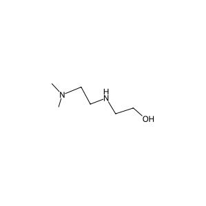 CN(C)CCNCCO